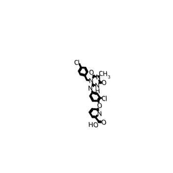 Cn1c(=O)[nH]/c(=N\c2ccc(Oc3cccc(C(=O)O)n3)c(Cl)c2)n(Cc2ccc(Cl)cc2)c1=O